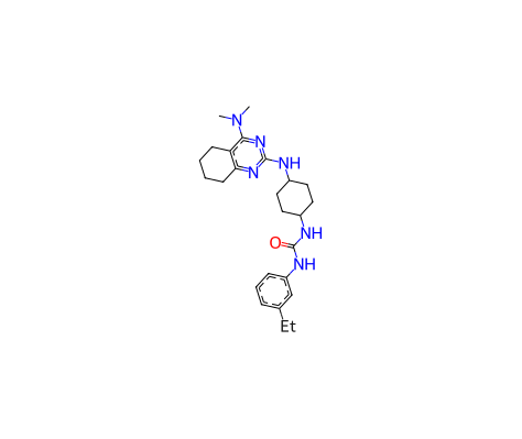 CCc1cccc(NC(=O)NC2CCC(Nc3nc4c(c(N(C)C)n3)CCCC4)CC2)c1